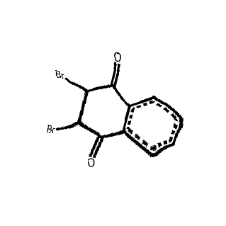 O=C1c2ccccc2C(=O)C(Br)C1Br